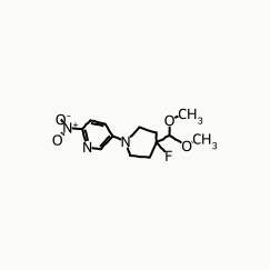 COC(OC)C1(F)CCN(c2ccc([N+](=O)[O-])nc2)CC1